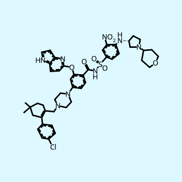 CC1(C)CCC(CN2CCN(c3ccc(C(=O)NS(=O)(=O)c4ccc(N[C@@H]5CCN(C6CCOCC6)C5)c([N+](=O)[O-])c4)c(Oc4ccc5[nH]ccc5n4)c3)CC2)=C(c2ccc(Cl)cc2)C1